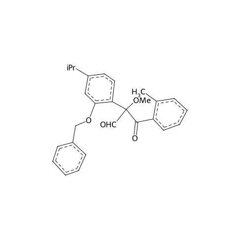 COC(C=O)(C(=O)c1ccccc1C)c1ccc(C(C)C)cc1OCc1ccccc1